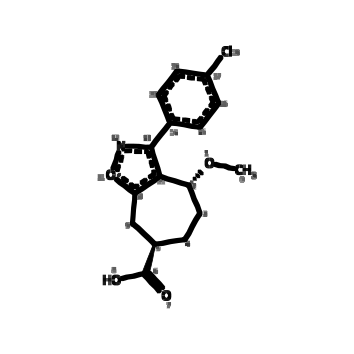 CO[C@@H]1CC[C@@H](C(=O)O)Cc2onc(-c3ccc(Cl)cc3)c21